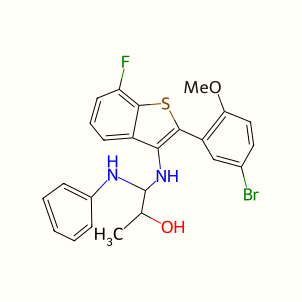 COc1ccc(Br)cc1-c1sc2c(F)cccc2c1NC(Nc1ccccc1)C(C)O